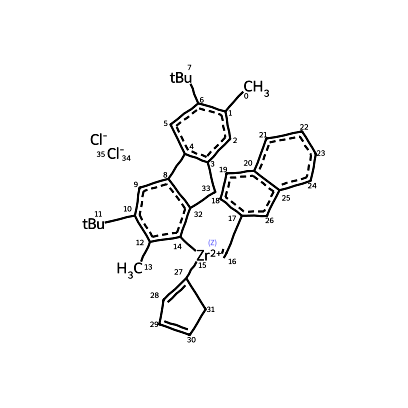 Cc1cc2c(cc1C(C)(C)C)-c1cc(C(C)(C)C)c(C)[c](/[Zr+2](=[CH]\c3ccc4ccccc4c3)[C]3=CC=CC3)c1C2.[Cl-].[Cl-]